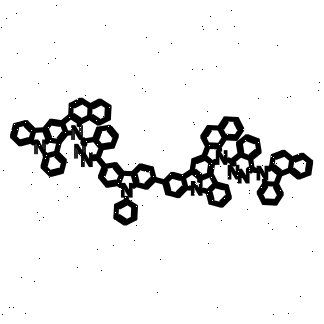 c1ccc(-n2c3ccc(-c4nnc(-n5c6c7ccccc7ccc6c6cc7c8ccccc8n8c9ccccc9c(c65)c78)c5ccccc45)cc3c3ccc(-c4ccc5c(c4)c4cc6c7ccc8ccccc8c7n(-c7nnc(-n8c9ccccc9c9c%10ccccc%10ccc98)c8ccccc78)c6c6c7ccccc7n5c46)cc32)cc1